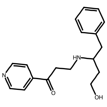 O=C(CCNC(CCO)Cc1ccccc1)c1ccncc1